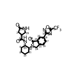 O=C1CC(C(=O)N[C@@H]2CCCC[C@@H]2N2Cc3ccc(-c4noc(C(F)(F)F)n4)cc3C2=O)CN1